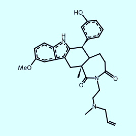 C=CCN(C)CCN1C(=O)CCC2[C@H](c3cccc(O)c3)c3[nH]c4ccc(OC)cc4c3C[C@@]2(C)C1=O